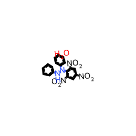 O.O=[N+]([O-])c1cc([N+](=O)[O-])c(N(Nc2ccccc2)c2ccccc2)c([N+](=O)[O-])c1